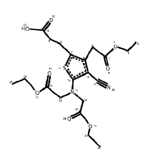 CCOC(=O)Cc1c(CCC(=O)O)sc(N(CC(=O)OCC)CC(=O)OCC)c1C#N